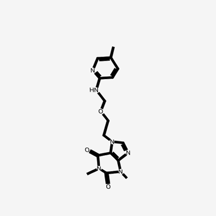 Cc1ccc(NCOCCn2cnc3c2c(=O)n(C)c(=O)n3C)nc1